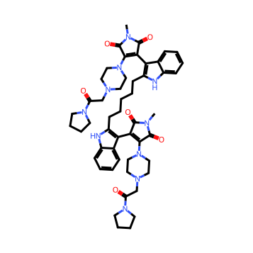 CN1C(=O)C(c2c(CCCCCc3[nH]c4ccccc4c3C3=C(N4CCN(CC(=O)N5CCCC5)CC4)C(=O)N(C)C3=O)[nH]c3ccccc23)=C(N2CCN(CC(=O)N3CCCC3)CC2)C1=O